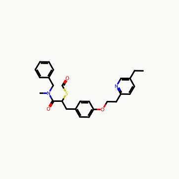 CCc1ccc(CCOc2ccc(CC(SC=O)C(=O)N(C)Cc3ccccc3)cc2)nc1